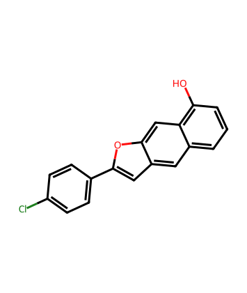 Oc1cccc2cc3cc(-c4ccc(Cl)cc4)oc3cc12